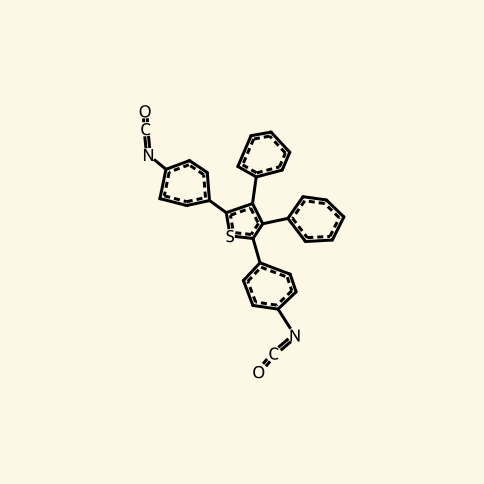 O=C=Nc1ccc(-c2sc(-c3ccc(N=C=O)cc3)c(-c3ccccc3)c2-c2ccccc2)cc1